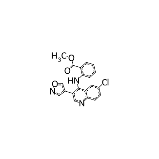 COC(=O)c1ccccc1Nc1c(-c2cnoc2)cnc2ccc(Cl)cc12